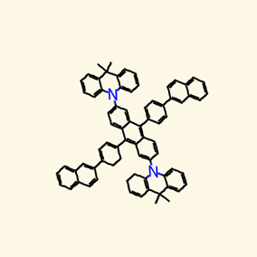 CC1(C)C2=C(CCC=C2)N(c2ccc3c(-c4ccc(-c5ccc6ccccc6c5)cc4)c4cc(N5c6ccccc6C(C)(C)c6ccccc65)ccc4c(C4=CC=C(c5ccc6ccccc6c5)CC4)c3c2)c2ccccc21